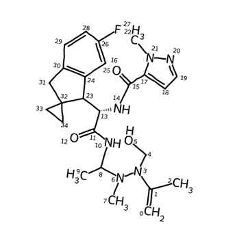 C=C(C)N(CO)N(C)C(C)NC(=O)[C@@H](NC(=O)c1ccnn1C)C1c2cc(F)ccc2CC12CC2